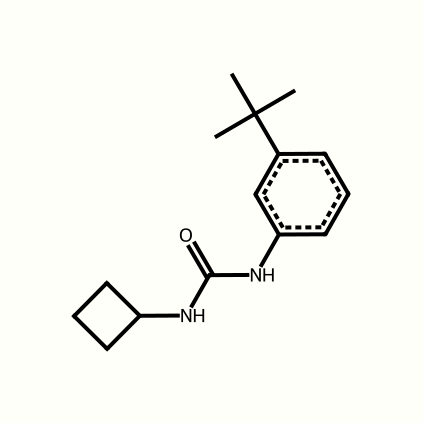 CC(C)(C)c1cccc(NC(=O)NC2CCC2)c1